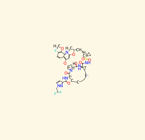 COc1c(F)ccc2c(O[C@@H]3C[C@H]4C(=O)N[C@]5(C(=O)NS(=O)(=O)C6(C)CC6)CC5/C=C\CCCCC[C@H](NC(=O)c5ccn(CC(F)F)n5)C(=O)N4C3)cc(OC(C)C)nc12